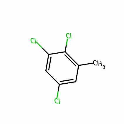 Cc1cc(Cl)cc(Cl)c1Cl